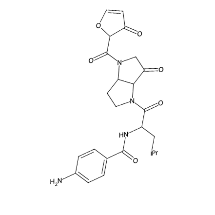 CC(C)CC(NC(=O)c1ccc(N)cc1)C(=O)N1CCC2C1C(=O)CN2C(=O)C1OC=CC1=O